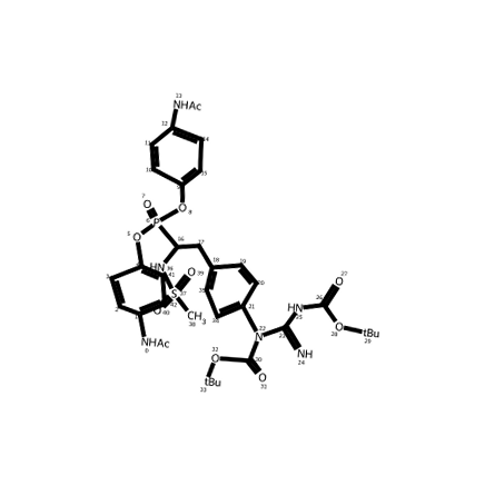 CC(=O)Nc1ccc(OP(=O)(Oc2ccc(NC(C)=O)cc2)C(Cc2ccc(N(C(=N)NC(=O)OC(C)(C)C)C(=O)OC(C)(C)C)cc2)NS(C)(=O)=O)cc1